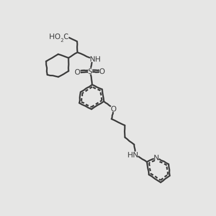 O=C(O)CC(NS(=O)(=O)c1cccc(OCCCCNc2ccccn2)c1)C1CCCCC1